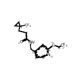 O=C(CCC1(C(F)(F)F)CC1)NCc1ccnc(OCC(F)(F)F)c1